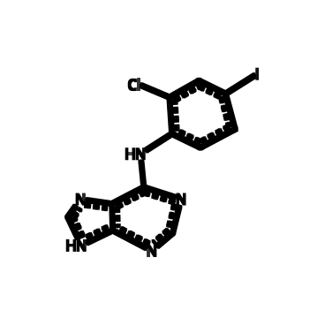 Clc1cc(I)ccc1Nc1ncnc2[nH]cnc12